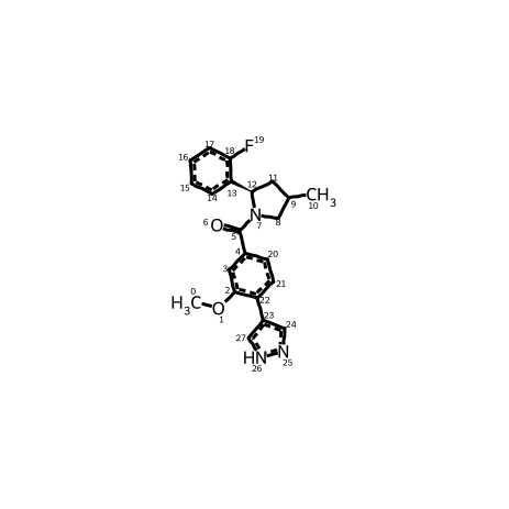 COc1cc(C(=O)N2CC(C)C[C@@H]2c2ccccc2F)ccc1-c1cn[nH]c1